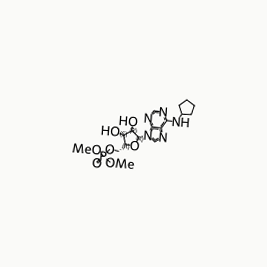 COP(=O)(OC)OC[C@H]1O[C@@H](n2cnc3c(NC4CCCC4)ncnc32)[C@H](O)[C@@H]1O